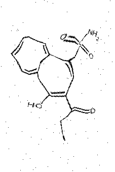 CCC(=O)c1cc(S(N)(=O)=O)c2ccccc2c1O